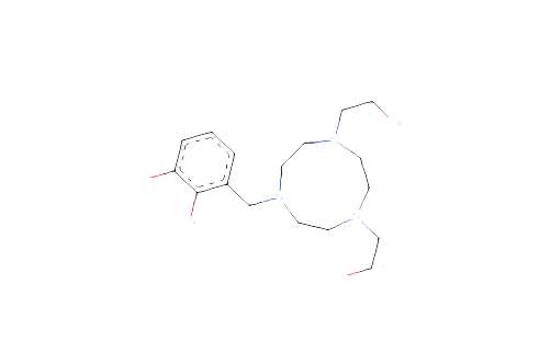 C[C@H](O)CN1CCN(Cc2cccc(O)c2O)CCN(C[C@H](C)O)CC1